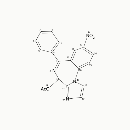 CC(=O)OC1N=C(c2ccccc2)c2cc([N+](=O)[O-])ccc2-n2ccnc21